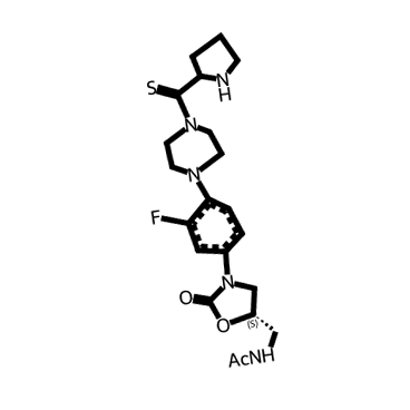 CC(=O)NC[C@H]1CN(c2ccc(N3CCN(C(=S)C4CCCN4)CC3)c(F)c2)C(=O)O1